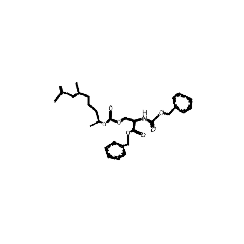 CC(C)CC(C)CCCC(C)OC(=O)OCC(NC(=O)OCc1ccccc1)C(=O)OCc1ccccc1